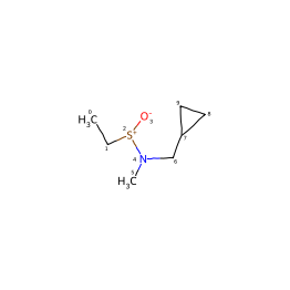 CC[S+]([O-])N(C)CC1CC1